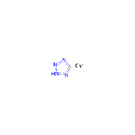 [Cs+].c1nn[nH]n1